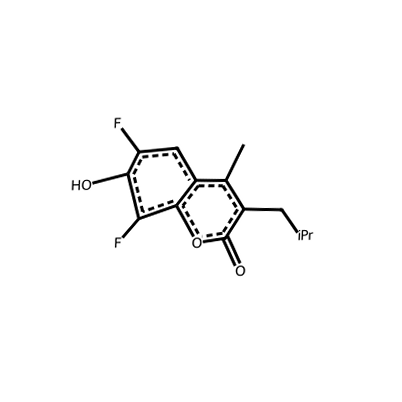 Cc1c(CC(C)C)c(=O)oc2c(F)c(O)c(F)cc12